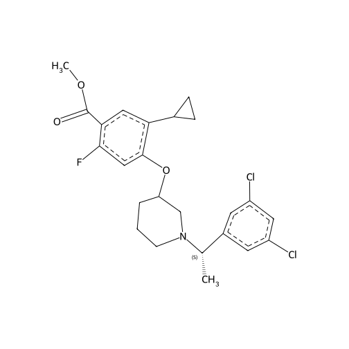 COC(=O)c1cc(C2CC2)c(OC2CCCN([C@@H](C)c3cc(Cl)cc(Cl)c3)C2)cc1F